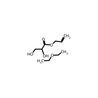 C=CCOC(=O)C(O)CO.CCOCC